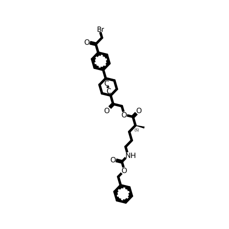 C[C@@H](CCCNC(=O)OCc1ccccc1)C(=O)OCC(=O)C12CCC(c3ccc(C(=O)CBr)cc3)(CC1)CC2